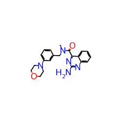 CN(Cc1cccc(N2CCOCC2)c1)C(=O)c1nc(N)nc2ccccc12